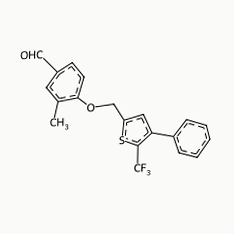 Cc1cc(C=O)ccc1OCc1cc(-c2ccccc2)c(C(F)(F)F)s1